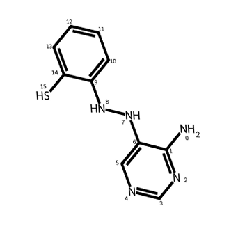 Nc1ncncc1NNc1ccccc1S